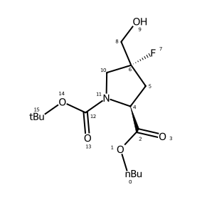 CCCCOC(=O)[C@@H]1C[C@](F)(CO)CN1C(=O)OC(C)(C)C